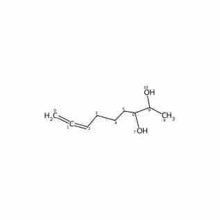 C=C=CCCCC(O)C(C)O